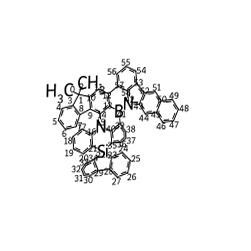 CC1(C)c2ccccc2-c2c1cc1c3c2N2c4ccccc4[Si]4(c5ccccc5-c5ccccc54)c4cccc(c42)B3n2c3cc4ccccc4cc3c3cccc-1c32